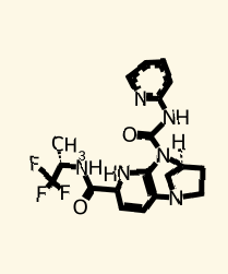 C[C@H](NC(=O)C1C=CC2=C(N1)N(C(=O)Nc1ccccn1)[C@H]1CCN2C1)C(F)(F)F